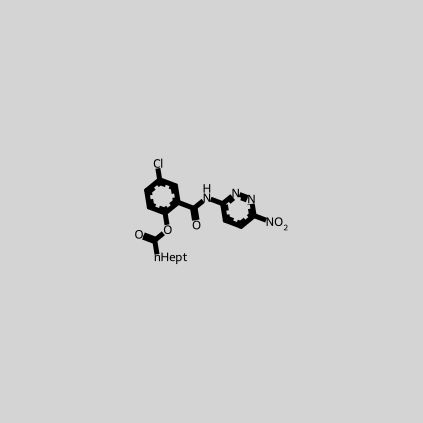 CCCCCCCC(=O)Oc1ccc(Cl)cc1C(=O)Nc1ccc([N+](=O)[O-])nn1